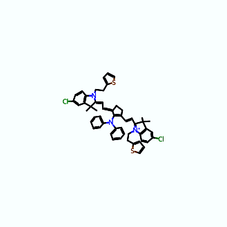 CC1(C)C(/C=C/C2=C(N(c3ccccc3)c3ccccc3)C(=C/C=C3/N(CCc4cccs4)c4ccc(Cl)cc4C3(C)C)/CC2)=[N+](CCc2cccs2)c2ccc(Cl)cc21